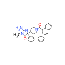 CN1C(=O)C(c2cccc(-c3ccccc3)c2)(C2CCN(C(=O)c3cccc4ccccc34)CC2)N=C1N